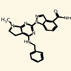 CN1CCc2c(NCc3ccccc3)nc(-n3ncc4c(C(N)=O)cccc43)nc21